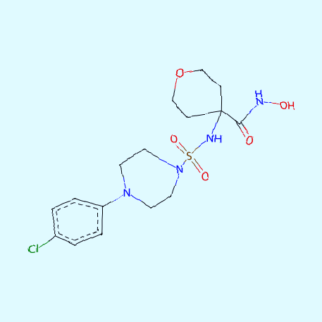 O=C(NO)C1(NS(=O)(=O)N2CCN(c3ccc(Cl)cc3)CC2)CCOCC1